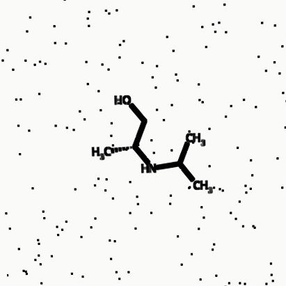 CC(C)N[C@H](C)CO